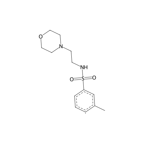 Cc1[c]ccc(S(=O)(=O)NCCN2CCOCC2)c1